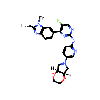 Cc1nc2ccc(-c3nc(Nc4ccc(N5C[C@@H]6OCCO[C@H]6C5)cn4)ncc3F)cc2n1C(C)C